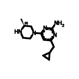 C[C@@H]1CN(c2cc(CC3CC3)nc(N)n2)CCN1